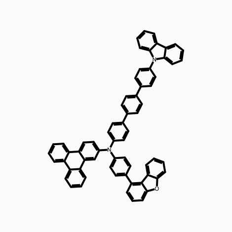 c1ccc2c(c1)oc1cccc(-c3ccc(N(c4ccc(-c5ccc(-c6ccc(-n7c8ccccc8c8ccccc87)cc6)cc5)cc4)c4ccc5c6ccccc6c6ccccc6c5c4)cc3)c12